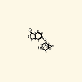 O=C1OCc2cc(O[C@H]3CNC[C@@H]4C[C@@H]43)ccc21